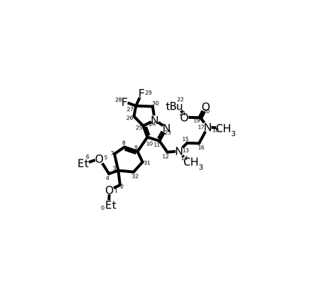 CCOCC1(COCC)CC=C(c2c(CN(C)CCN(C)C(=O)OC(C)(C)C)nn3c2CC(F)(F)C3)CC1